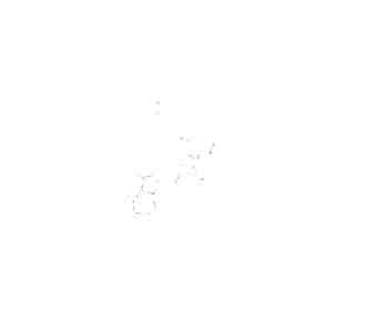 CC(C)OC(=O)C1=C(NCC2CCCCC2)O/C(=C\c2c[nH]c3ncccc23)C1=O